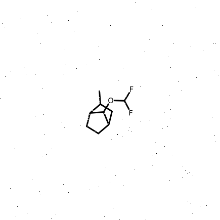 CC1CC2CCC1C2OC(F)F